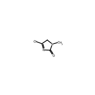 CN1[C]C(Cl)=NC1=O